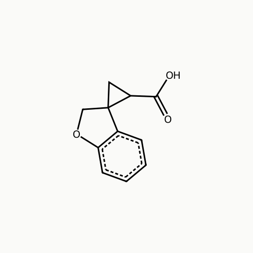 O=C(O)C1CC12COc1ccccc12